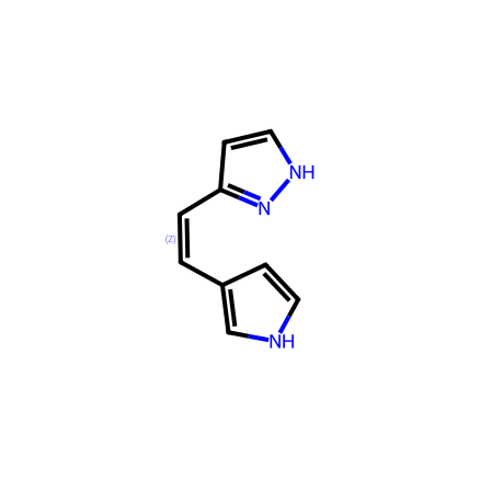 C(=C/c1cc[nH]n1)/c1cc[nH]c1